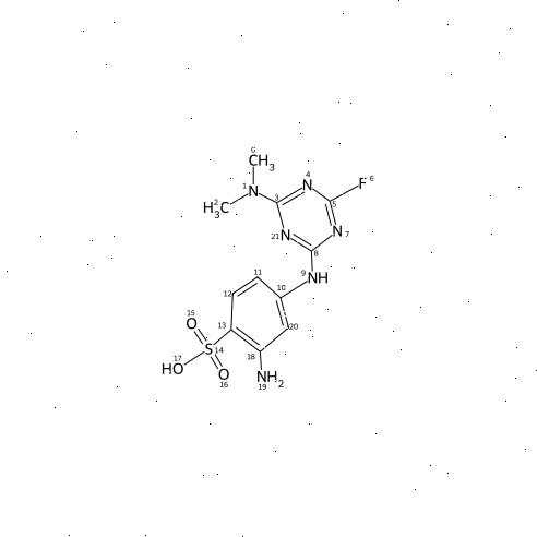 CN(C)c1nc(F)nc(Nc2ccc(S(=O)(=O)O)c(N)c2)n1